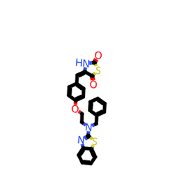 O=C1NC(=Cc2ccc(OCCN(Cc3ccccc3)c3nc4ccccc4s3)cc2)C(=O)S1